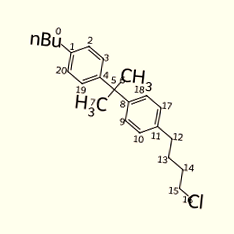 CCCCc1ccc(C(C)(C)c2ccc(CCCCCl)cc2)cc1